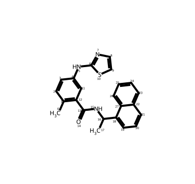 Cc1ccc(Nc2nccs2)cc1C(=O)NC(C)c1cccc2ccccc12